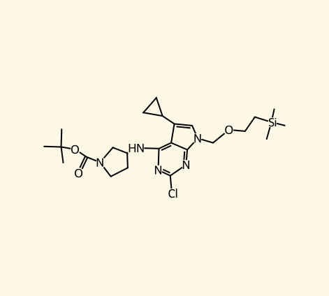 CC(C)(C)OC(=O)N1CC[C@@H](Nc2nc(Cl)nc3c2c(C2CC2)cn3COCC[Si](C)(C)C)C1